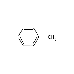 CC1=CC=IC=C1